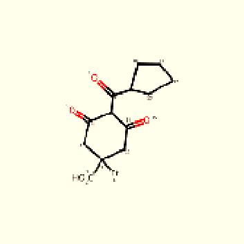 CCC1(C(=O)O)CC(=O)C(C(=O)C2CCCC2)C(=O)C1